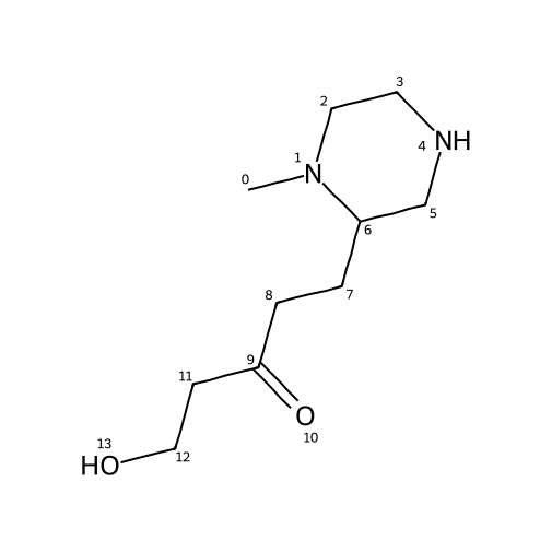 CN1CCNCC1CCC(=O)CCO